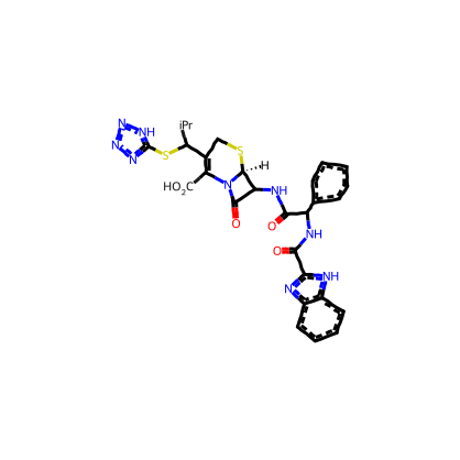 CC(C)C(Sc1nnn[nH]1)C1=C(C(=O)O)N2C(=O)C(NC(=O)C(NC(=O)c3nc4ccccc4[nH]3)c3ccccc3)[C@@H]2SC1